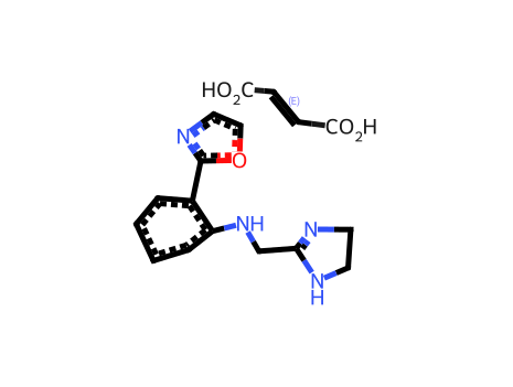 O=C(O)/C=C/C(=O)O.c1ccc(-c2ncco2)c(NCC2=NCCN2)c1